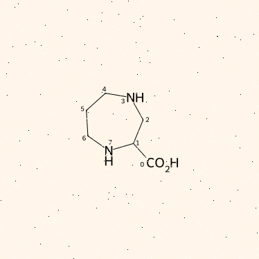 O=C(O)C1CNCCCN1